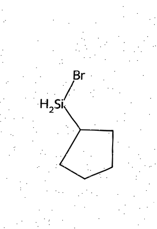 Br[SiH2]C1CCCC1